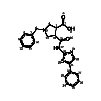 O=C(O)C1CN(Cc2ccccc2)CC1C(=O)Nc1ncc(-c2ccccc2)s1